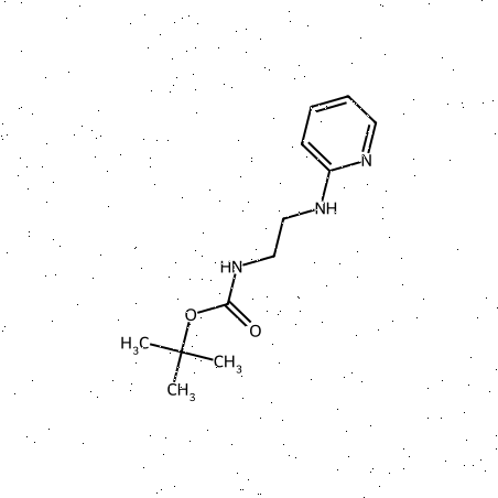 CC(C)(C)OC(=O)NCCNc1ccccn1